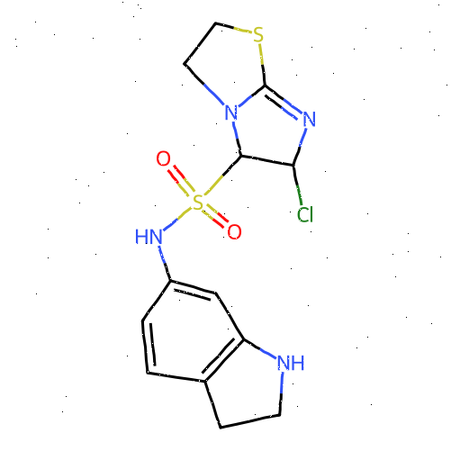 O=S(=O)(Nc1ccc2c(c1)NCC2)C1C(Cl)N=C2SCCN21